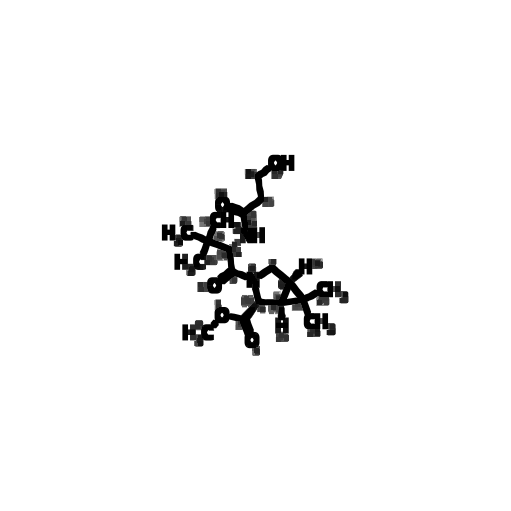 COC(=O)[C@@H]1[C@@H]2[C@H](CN1C(=O)[C@@H](NC(=O)CCO)C(C)(C)C)C2(C)C